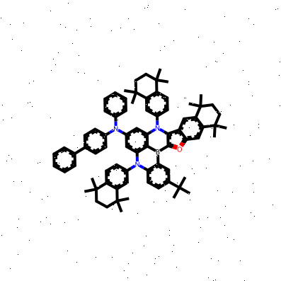 CC(C)(C)c1ccc2c(c1)B1c3oc4cc5c(cc4c3N(c3ccc4c(c3)C(C)(C)CCC4(C)C)c3cc(N(c4ccccc4)c4ccc(-c6ccccc6)cc4)cc(c31)N2c1ccc2c(c1)C(C)(C)CCC2(C)C)C(C)(C)CCC5(C)C